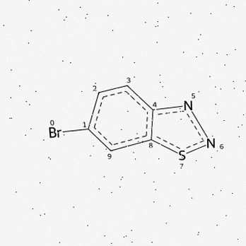 Brc1ccc2nnsc2c1